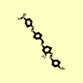 CCCCc1ccc(N=Nc2ccc(/N=C/c3ccc(N=Nc4ccc(N(CC)CC)cc4)cc3)cc2C)cc1